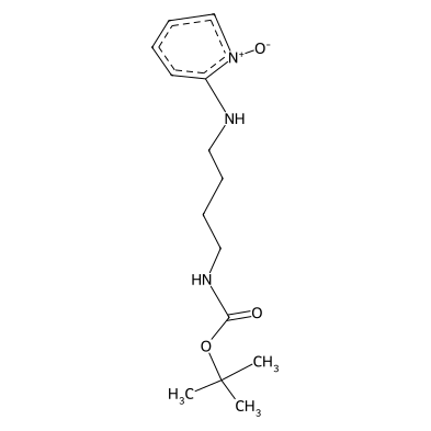 CC(C)(C)OC(=O)NCCCCNc1cccc[n+]1[O-]